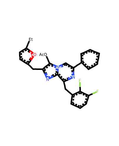 CCc1ccc(Cc2nc3c(Cc4cccc(F)c4F)nc(-c4ccccc4)cn3c2OC(C)=O)o1